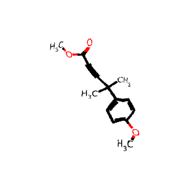 COC(=O)C#CC(C)(C)c1ccc(OC)cc1